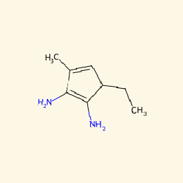 CCC1C=C(C)C(N)=C1N